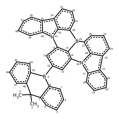 CC1(C)c2ccccc2B(c2cc3c4c(c2)-n2c5ccccc5c5cccc(c52)B4c2cccc4c5ccccc5n-3c24)c2ccccc21